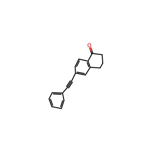 O=C1CCCc2cc(C#Cc3ccccc3)ccc21